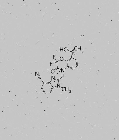 C[C@H](O)c1cccc2c1OC(F)(F)C(=O)N2Cc1nc2c(C#N)cccc2n1C